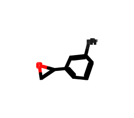 CCCc1cccc(C2CO2)c1